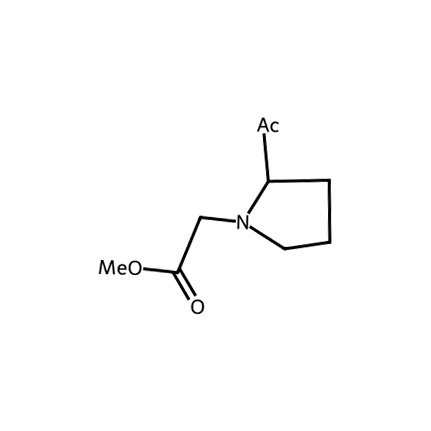 COC(=O)CN1CCCC1C(C)=O